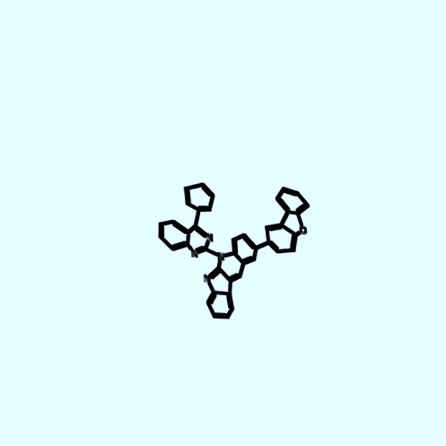 c1ccc(-c2nc(-n3c4nc5ccccc5c-4cc4cc(-c5ccc6oc7ccccc7c6c5)ccc43)nc3ccccc23)cc1